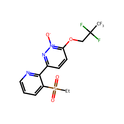 CCS(=O)(=O)c1cccnc1-c1ccc(OCC(F)(F)C(F)(F)F)[n+]([O-])n1